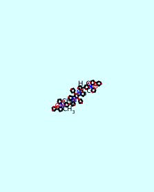 Cc1ccccc1N(c1ccc(-c2cccc3c2c2cccc4c5c(-c6ccccc6)c6c(c(-c7ccccc7)c5n3c24)c2cccc3c4c(-c5ccc(N(c7ccccc7C)c7c(C)ccc8c7oc7ccccc78)cc5)cccc4n6c32)cc1)c1c(C)ccc2c1oc1ccccc12